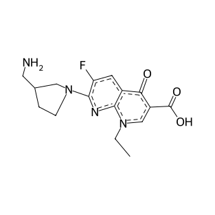 CCn1cc(C(=O)O)c(=O)c2cc(F)c(N3CCC(CN)C3)nc21